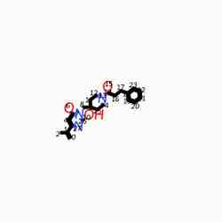 C=C(C)c1cc(=O)n(CC2(O)CCN(C(=O)CCc3ccccc3)CC2)cn1